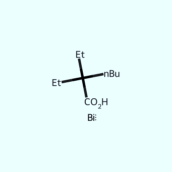 CCCCC(CC)(CC)C(=O)O.[Bi]